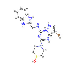 [O-][S+]1CCN(c2nc(NCc3nc4ccccc4[nH]3)n3ncc(Br)c3n2)CC1